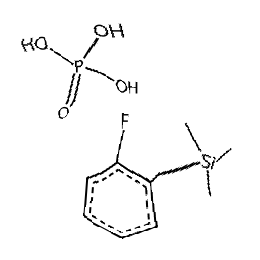 C[Si](C)(C)c1ccccc1F.O=P(O)(O)O